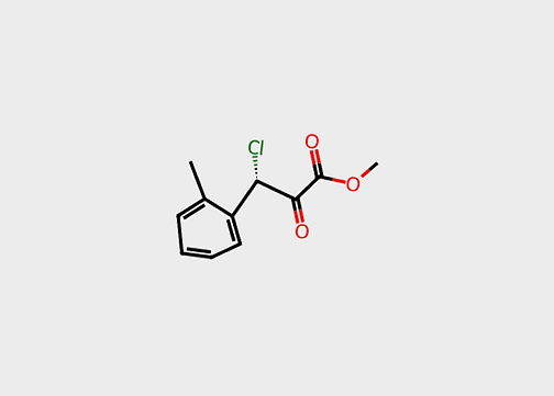 COC(=O)C(=O)[C@@H](Cl)c1ccccc1C